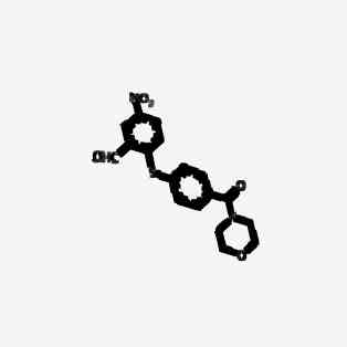 O=Cc1cc([N+](=O)[O-])ccc1Sc1ccc(C(=O)N2CCOCC2)cc1